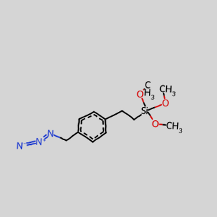 CO[Si](CCc1ccc(CN=[N+]=[N-])cc1)(OC)OC